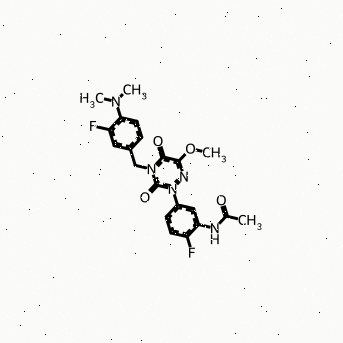 COc1nn(-c2ccc(F)c(NC(C)=O)c2)c(=O)n(Cc2ccc(N(C)C)c(F)c2)c1=O